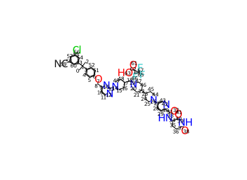 CC(C)(c1ccc(OCc2ccnc(N3CCC(CN4CCC(C5CCN(c6ccc(C(=O)NC7CCC(=O)NC7=O)nc6)CC5)CC4)CC3)n2)cc1)c1cc(Cl)cc(C#N)c1.O=C(O)C(F)(F)F